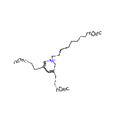 CCCCCCCCCCCCCCCCCCC[n+]1cc(CCCCCCCCCCCC)cc(CCCCCCCCCCCC)c1